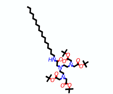 CCCCCCCCCCCCCCCCCCNC(=O)CN(CCN(CC(=O)OC(C)(C)C)CC(=O)OC(C)(C)C)CCN(CC(=O)OC(C)(C)C)CC(=O)OC(C)(C)C